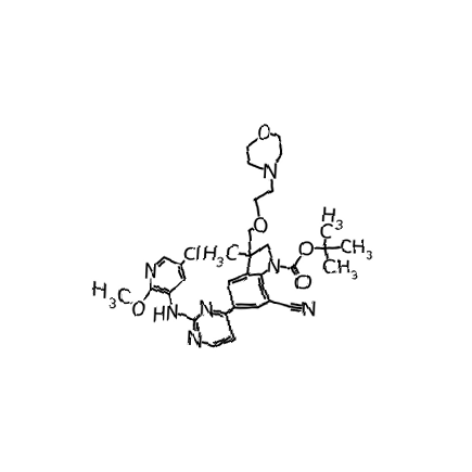 COc1ncc(Cl)cc1Nc1nccc(-c2cc(C#N)c3c(c2)C(C)(COCCN2CCOCC2)CN3C(=O)OC(C)(C)C)n1